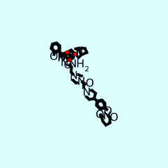 Nc1nnc(-c2ccccc2O)cc1N1CC2CCC(C1)N2c1cccc(OCCN2CCN(C(=O)CN3CCC(c4ccc(ON5C(=O)CCCC5=O)cc4)CC3)CC2)c1